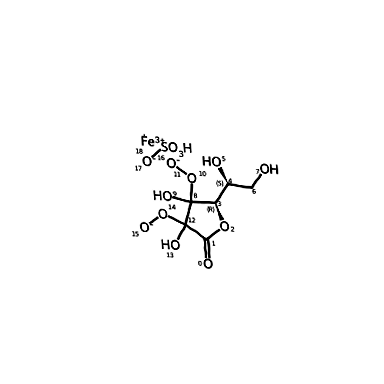 O=C1O[C@H]([C@@H](O)CO)C(O)(O[O-])C1(O)O[O-].O=S(=O)([O-])O.[Fe+3]